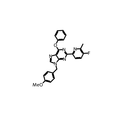 COc1ccc(Cn2cnc3c(Oc4ccccc4)nc(-c4ccc(F)c(C)n4)nc32)cc1